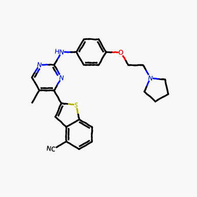 Cc1cnc(Nc2ccc(OCCN3CCCC3)cc2)nc1-c1cc2c(C#N)cccc2s1